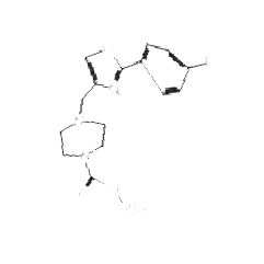 CC(C)(C)OC(=O)N1CCN(Cc2coc(-c3ccc(F)cc3)n2)CC1